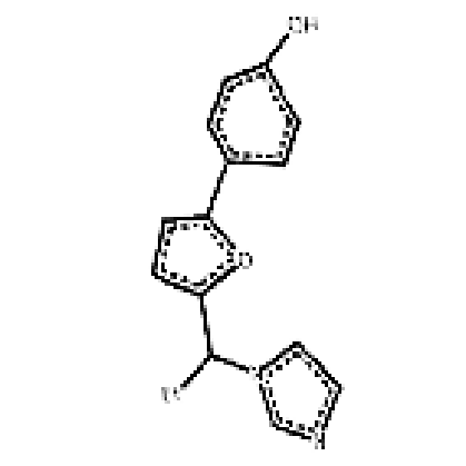 CCC(c1ccc(-c2ccc(O)cc2)o1)n1ccnc1